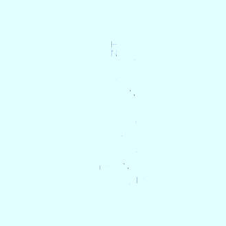 Cc1cc(CCCN(C(C)C)C(C)C)nc2c1CNC2